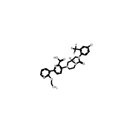 CCOc1ncccc1-c1ccc(N2CCN3C(=O)N(c4ccc(Cl)cc4C(F)(F)F)C[C@@H]3C2)c(C(=O)O)n1